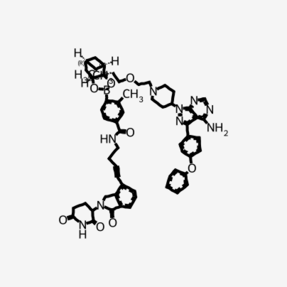 Cc1cc(C(=O)NCCC#Cc2cccc3c2CN(C2CCC(=O)NC2=O)C3=O)ccc1B1O[C@H]2C[C@H]3C[C@H](C3(C)C)[C@@]2(CCOCCN2CCC(n3nc(-c4ccc(Oc5ccccc5)cc4)c4c(N)ncnc43)CC2)O1